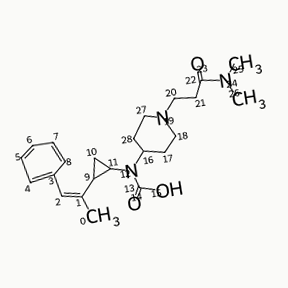 CC(=Cc1ccccc1)C1CC1N(C(=O)O)C1CCN(CCC(=O)N(C)C)CC1